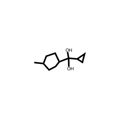 CC1CCC(C(O)(O)C2CC2)CC1